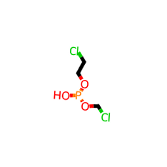 OP(OCCl)OCCCl